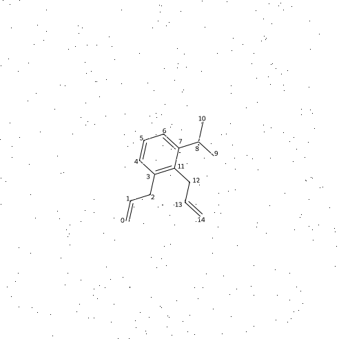 C=CCc1cccc([C](C)C)c1CC=C